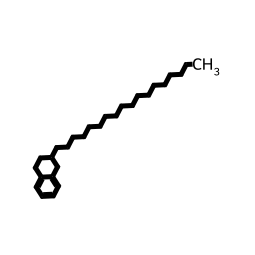 CCCCCCCCCCCCCCCCCCC1CCc2ccccc2C1